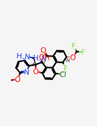 COc1cccc([C@@]2(CN)Oc3ccc(Cl)c(C4=C(C(N)=O)C=C[C@H](OC(F)F)C4F)c3[C@@H]2O)n1